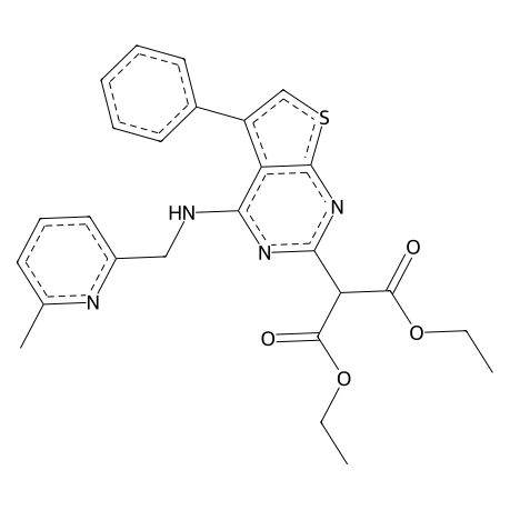 CCOC(=O)C(C(=O)OCC)c1nc(NCc2cccc(C)n2)c2c(-c3ccccc3)csc2n1